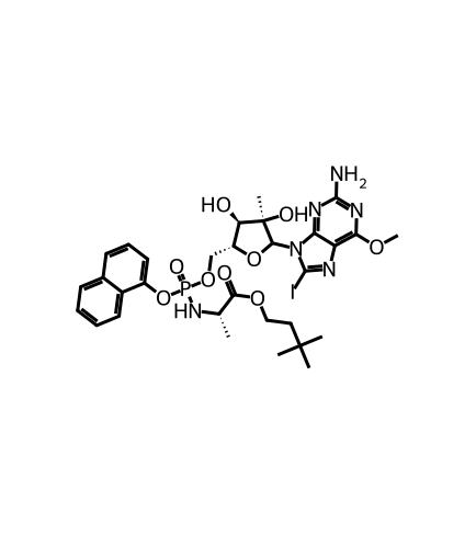 COc1nc(N)nc2c1nc(I)n2C1O[C@H](COP(=O)(N[C@@H](C)C(=O)OCCC(C)(C)C)Oc2cccc3ccccc23)[C@@H](O)[C@@]1(C)O